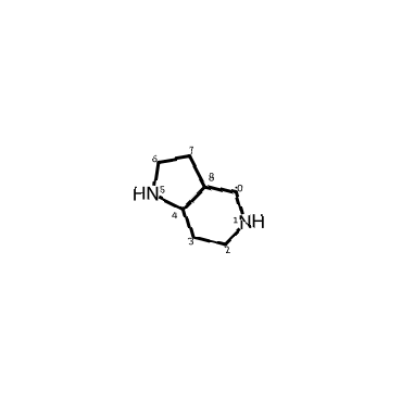 [CH]1NCCC2NCCC12